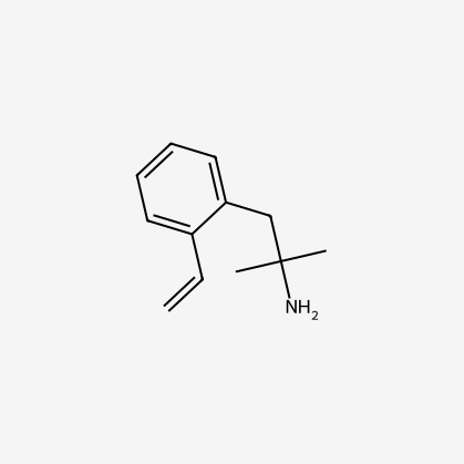 C=Cc1ccccc1CC(C)(C)N